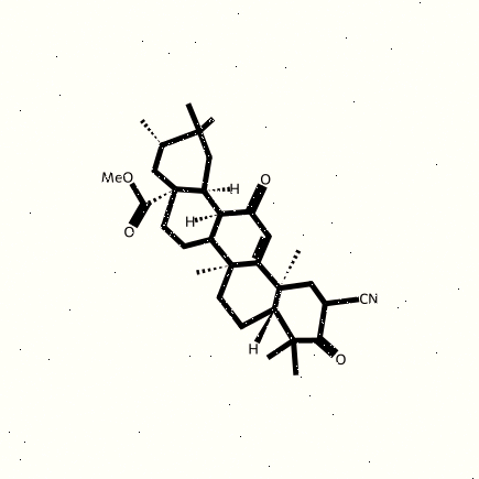 COC(=O)[C@@]12CCC3[C@H](C(=O)C=C4[C@@]3(C)CC[C@H]3C(C)(C)C(=O)C(C#N)C[C@]43C)[C@@H]1CC(C)(C)[C@@H](C)C2